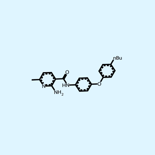 CCCCc1ccc(Oc2ccc(NC(=O)c3ccc(C)nc3N)cc2)cc1